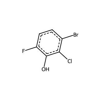 Oc1c(F)ccc(Br)c1Cl